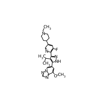 CCN1CCC(c2cnc(-c3n[nH]c(-c4cc(OC)c5ncnn5c4)c3C(C)C)c(F)c2)CC1